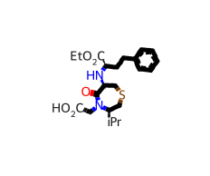 CCOC(=O)[C@H](CCc1ccccc1)N[C@H]1CSC[C@@H](C(C)C)N(CC(=O)O)C1=O